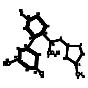 CN1CCC(CN(C(=O)O)c2ccc(F)cc2-c2cc(O)cc(Cl)c2)C1